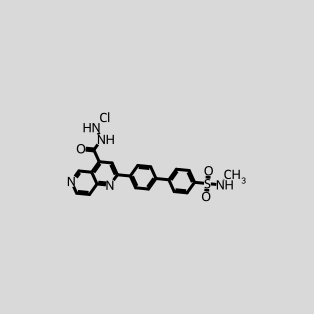 CNS(=O)(=O)c1ccc(-c2ccc(-c3cc(C(=O)NNCl)c4cnccc4n3)cc2)cc1